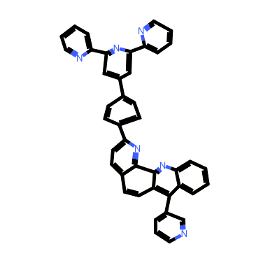 c1ccc(-c2cc(-c3ccc(-c4ccc5ccc6c(-c7cccnc7)c7ccccc7nc6c5n4)cc3)cc(-c3ccccn3)n2)nc1